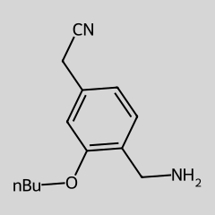 CCCCOc1cc(CC#N)ccc1CN